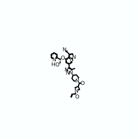 C=CC(=O)N1CC(C(=O)N2CCC(n3nnc(-c4cc(O[C@@H](CO)c5ccccn5)c5c(C#N)cnn5c4)c3C)CC2)C1